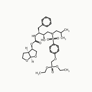 CCOP(=O)(COc1ccc(S(=O)(=O)N(CC(C)C)C[C@@H](O)[C@H](Cc2ccccc2)NC(=O)O[C@H]2CO[C@H]3OCC[C@H]32)cc1)OCC